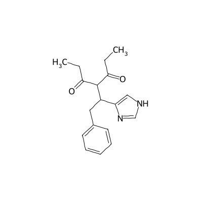 CCC(=O)C(C(=O)CC)C(Cc1ccccc1)c1c[nH]cn1